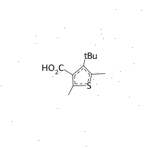 Cc1sc(C)c(C(C)(C)C)c1C(=O)O